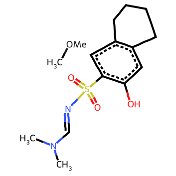 CN(C)C=NS(=O)(=O)c1cc2c(cc1O)CCCC2.COC